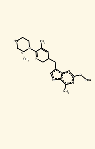 CCCCOc1nc(N)c2ncc(CC3C=C(C)C(N4CCNC[C@H]4C)=NC3)n2n1